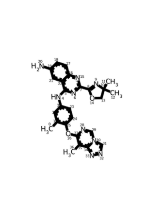 Cc1cc(Nc2nc(C3=NC(C)(C)CO3)nc3ccc(N)cc23)ccc1Oc1ncn2cnnc2c1C